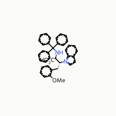 COc1ccccc1C[C@H]([C@@H](NC(c1ccccc1)(c1ccccc1)c1ccccc1)C(=O)O)n1ccc2ccccc21